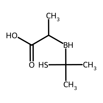 CC(BC(C)(C)S)C(=O)O